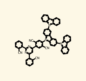 N#Cc1ccccc1-c1cc(-c2cc(C#N)c(-n3c4ccc(-n5c6ccccc6c6ccccc65)cc4c4cc(-n5c6ccccc6c6ccccc65)ccc43)cc2C#N)nc(-c2ccccc2C#N)n1